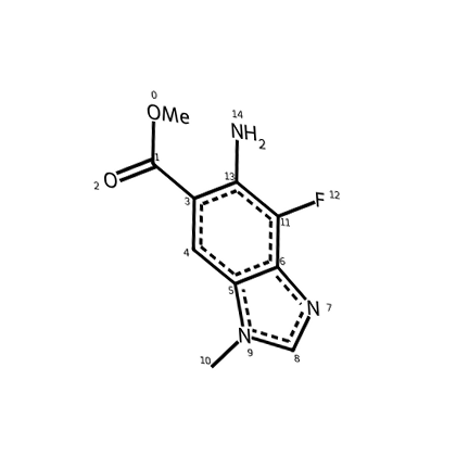 COC(=O)c1cc2c(ncn2C)c(F)c1N